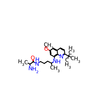 COc1cc(NC(C)CCCNC(=O)C(C)N)c2nc(C(C)(C)C)ccc2c1